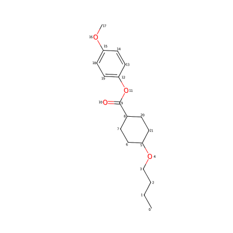 CCCCOC1CCC(C(=O)Oc2ccc(OC)cc2)CC1